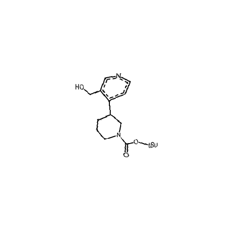 CC(C)(C)OC(=O)N1CCCC(c2ccncc2CO)C1